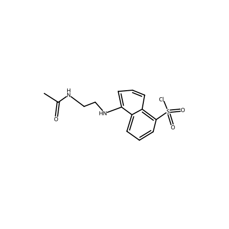 CC(=O)NCCNc1cccc2c(S(=O)(=O)Cl)cccc12